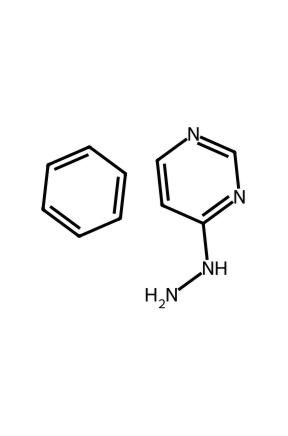 NNc1ccncn1.c1ccccc1